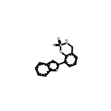 O=S1(=O)NCc2cccc(-c3cc4ccccc4s3)c2O1